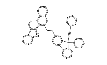 C(#CC1(c2ccccc2)c2ccccc2-c2ccc(CCc3cc4ccccc4c4ccc5c6ccccc6sc5c34)cc21)c1ccccc1